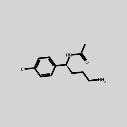 CC(=O)N[C@@H](CCCN)c1ccc(Cl)cc1